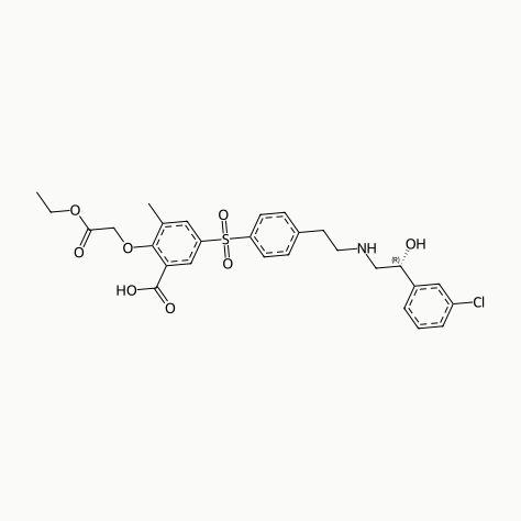 CCOC(=O)COc1c(C)cc(S(=O)(=O)c2ccc(CCNC[C@H](O)c3cccc(Cl)c3)cc2)cc1C(=O)O